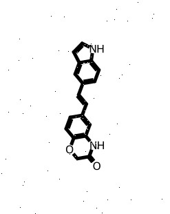 O=C1COc2ccc(/C=C/c3ccc4[nH]ccc4c3)cc2N1